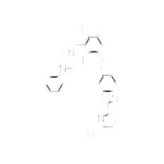 OC1CSC(c2nc3ccc(OCc4c(F)c(F)c(F)c(CN5CCN(c6ccccc6)CC5)c4F)cc3s2)=N1